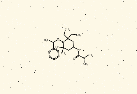 CCC1(CC)CC(NC(=O)N(C)C)CC(C)(C)N1OC(C)c1ccccc1